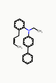 C/C=C\Cc1ccccc1N(CC)c1ccc(-c2ccccc2)cc1